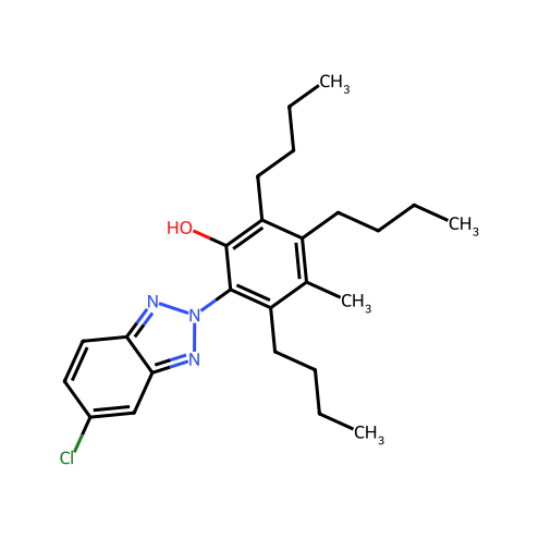 CCCCc1c(C)c(CCCC)c(-n2nc3ccc(Cl)cc3n2)c(O)c1CCCC